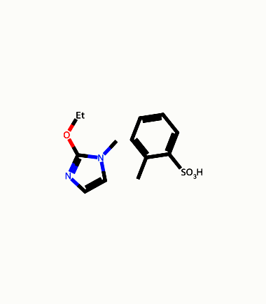 CCOc1nccn1C.Cc1ccccc1S(=O)(=O)O